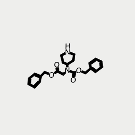 O=C(CN(C(=O)OCc1ccccc1)C1CCNCC1)OCc1ccccc1